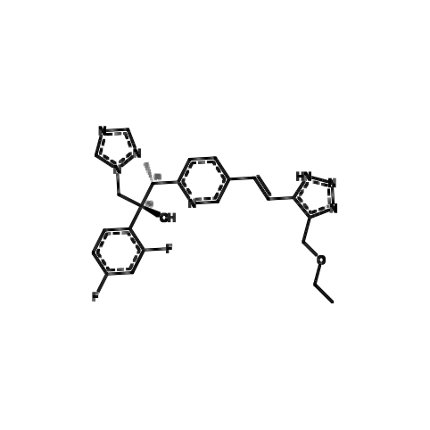 CCOCc1nn[nH]c1C=Cc1ccc([C@@H](C)[C@@](O)(Cn2cncn2)c2ccc(F)cc2F)nc1